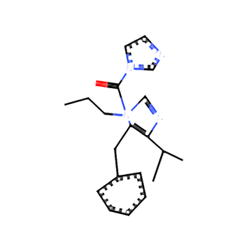 CCC[N+]1(C(=O)n2ccnc2)C=NC(C(C)C)=C1Cc1ccccc1